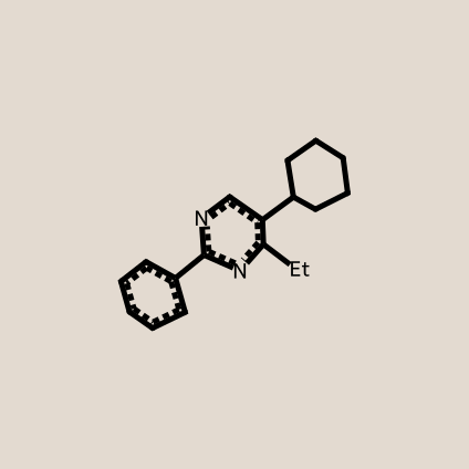 CCc1nc(-c2ccccc2)ncc1C1CCCCC1